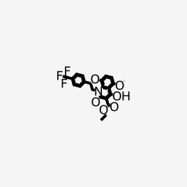 CCOC(=O)c1c(O)c2c(OC)ccc3c2n(c1=O)CC(c1ccc(C(F)(F)F)cc1)O3